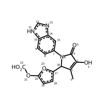 CC1=C(O)C(=O)N(c2ccc3[nH]cnc3c2)C1c1ccc(OC(=O)O)o1